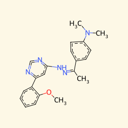 COc1ccccc1-c1cc(NN=C(C)c2ccc(N(C)C)cc2)ncn1